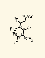 CC(=O)OCC(F)C(C(F)C(C(F)F)C(F)(F)F)C(F)(F)F